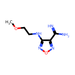 COCCNc1nonc1C(=N)N